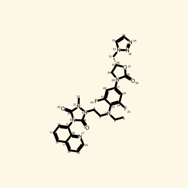 CCN(CCn1c(=O)n(-c2cccc3cccnc23)c(=O)n1C)c1c(F)cc(N2C[C@H](Cn3ccnn3)OC2=O)cc1F